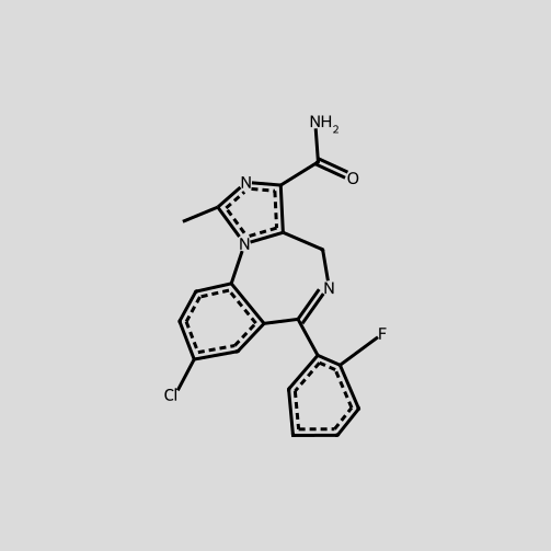 Cc1nc(C(N)=O)c2n1-c1ccc(Cl)cc1C(c1ccccc1F)=NC2